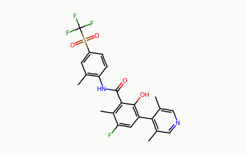 Cc1cc(S(=O)(=O)C(F)(F)F)ccc1NC(=O)c1c(C)c(F)cc(-c2c(C)cncc2C)c1O